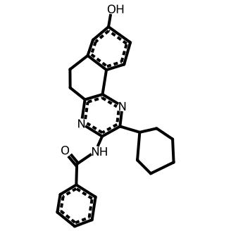 O=C(Nc1nc2c(nc1C1CCCCC1)-c1ccc(O)cc1CC2)c1ccccc1